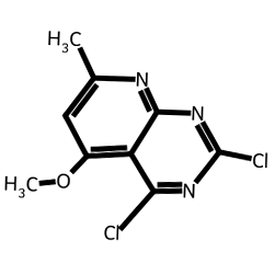 COc1cc(C)nc2nc(Cl)nc(Cl)c12